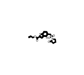 C=CCOC(=O)c1cc2cc(CP(=O)(O)N3CCCC3=O)ccc2s1